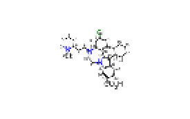 CCN1CCCCC1CCN1CCn2c(c(C3CCCCC3)c3ccc(C(=O)O)cc32)-c2ccc(Cl)cc21